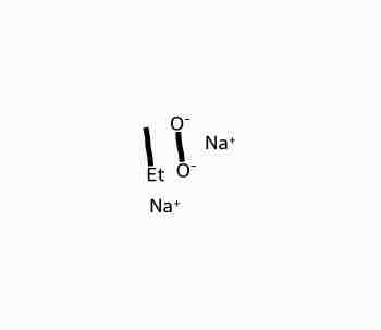 CCC.[Na+].[Na+].[O-][O-]